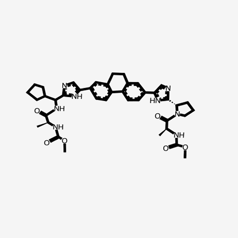 COC(=O)N[C@@H](C)C(=O)NC(c1ncc(-c2ccc3c(c2)CCc2cc(-c4cnc([C@@H]5CCCN5C(=O)[C@H](C)NC(=O)OC)[nH]4)ccc2-3)[nH]1)C1CCCC1